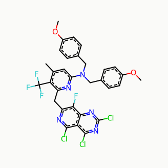 COc1ccc(CN(Cc2ccc(OC)cc2)c2cc(C)c(C(F)(F)F)c(Cc3nc(Cl)c4c(Cl)nc(Cl)nc4c3F)n2)cc1